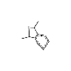 CC1OC(C)c2ccc[c]c21